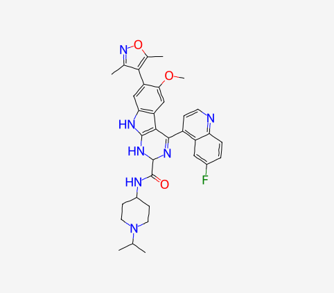 COc1cc2c3c([nH]c2cc1-c1c(C)noc1C)NC(C(=O)NC1CCN(C(C)C)CC1)N=C3c1ccnc2ccc(F)cc12